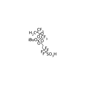 C=C(C(=O)OC(OCCCC(F)(F)C(F)(F)S(=O)(=O)O)(C(=O)OCC(C)C)C(F)(F)F)C(F)(F)F